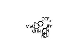 COC(=O)C(Nc1cc(C(C)C)nc2ncnn12)c1ccc(OC(F)(F)F)cc1F